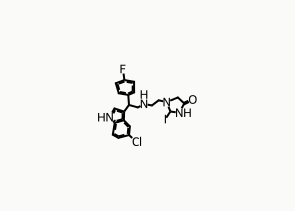 O=C1CN(CCNCC(c2ccc(F)cc2)c2c[nH]c3ccc(Cl)cc23)C(I)N1